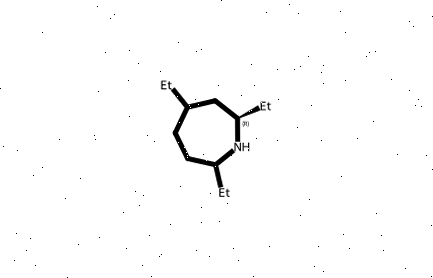 CCC1CCC(CC)N[C@H](CC)C1